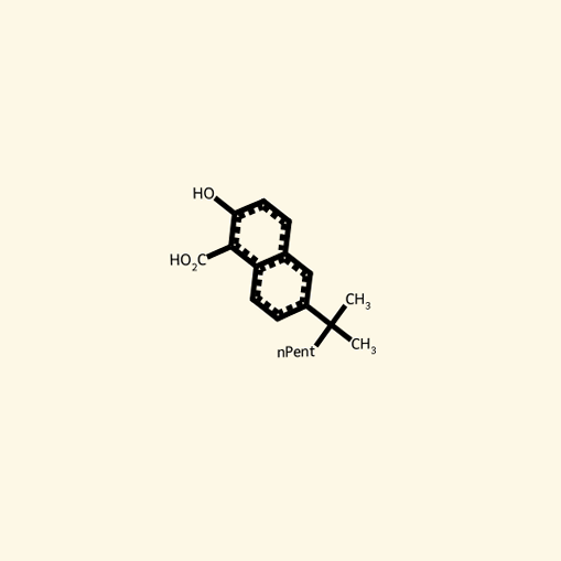 CCCCCC(C)(C)c1ccc2c(C(=O)O)c(O)ccc2c1